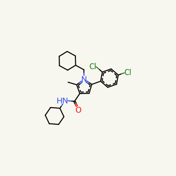 Cc1c(C(=O)NC2CCCCC2)cc(-c2ccc(Cl)cc2Cl)n1CC1CCCCC1